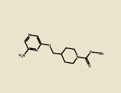 CC(C)(C)OC(=O)N1CCC(COc2cncc(N)n2)CC1